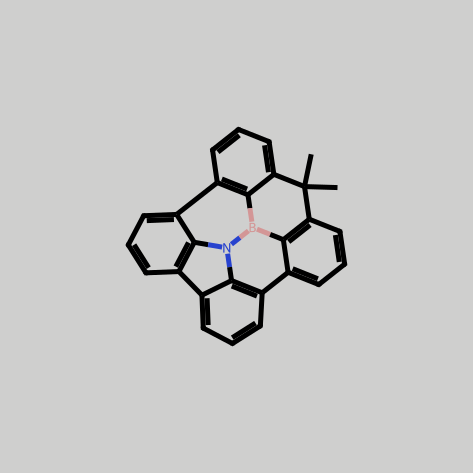 CC1(C)c2cccc3c2B2c4c(cccc41)-c1cccc4c5cccc-3c5n2c14